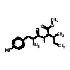 CCC(C)C(NC(=O)C(N)Cc1ccc(O)cc1)C(=O)OC